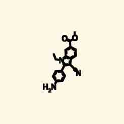 CCn1c(-c2ccc(N)cc2)c(C#N)c2ccc(C(=O)OC)cc21